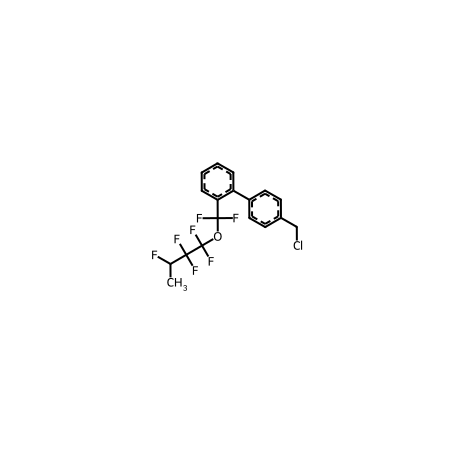 CC(F)C(F)(F)C(F)(F)OC(F)(F)c1ccccc1-c1ccc(CCl)cc1